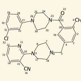 Cc1ccc(CN2CCN(c3ncccc3C#N)CC2)cc1C(=O)N1CCN(c2cccc(Cl)c2)CC1